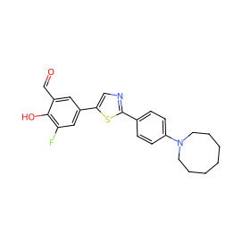 O=Cc1cc(-c2cnc(-c3ccc(N4CCCCCCC4)cc3)s2)cc(F)c1O